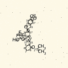 CC(C)COc1ccccc1CN1CCC2(CCN(C(=O)Cc3ccc4c(c3)OCO4)CC2)C1.O=C(O)C(F)(F)F